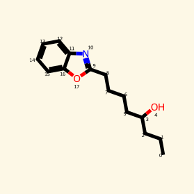 CCCC(O)CCCCc1nc2ccccc2o1